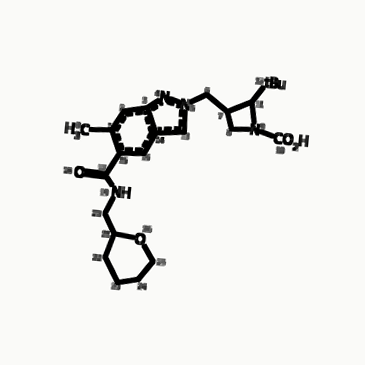 Cc1cc2nn(CC3CN(C(=O)O)C3C(C)(C)C)cc2cc1C(=O)NCC1CCCCO1